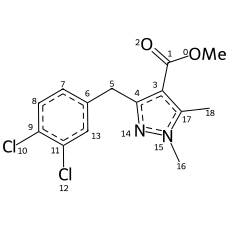 COC(=O)c1c(Cc2ccc(Cl)c(Cl)c2)nn(C)c1C